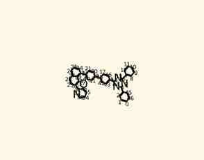 c1ccc(-c2nc(-c3ccccc3)nc(-c3ccc(-c4ccc(-c5cccc6ccc7c8ncccc8oc7c56)cc4)cc3)n2)cc1